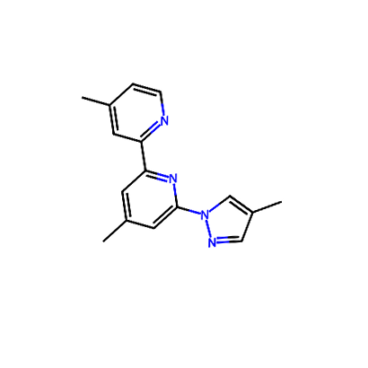 Cc1ccnc(-c2cc(C)cc(-n3cc(C)cn3)n2)c1